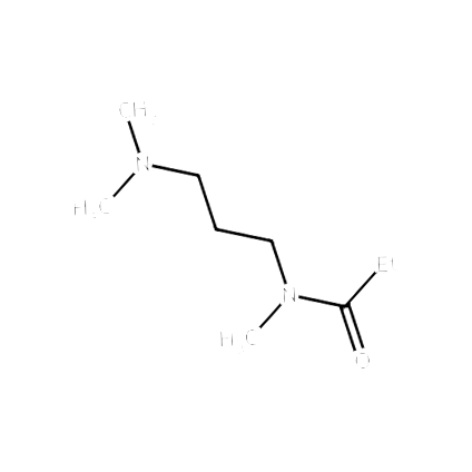 CCC(=O)N(C)CCCN(C)C